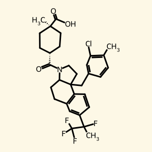 Cc1ccc(CC23CCN(C(=O)[C@H]4CC[C@](C)(C(=O)O)CC4)C2CCc2cc(C(C)(F)C(F)(F)F)ccc23)cc1Cl